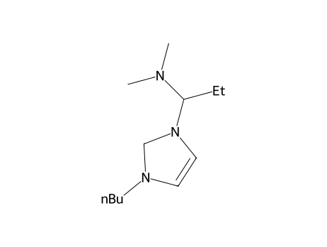 CCCCN1C=CN(C(CC)N(C)C)C1